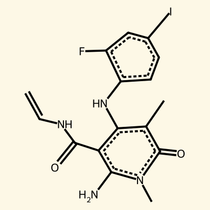 C=CNC(=O)c1c(Nc2ccc(I)cc2F)c(C)c(=O)n(C)c1N